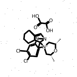 C[C@@H]1C[N+]2(C[C@H](C)O1)CC21C2CCCC3C2=CN1N3c1ccc(Cl)c(Cl)c1.O=C(O)C(=O)O